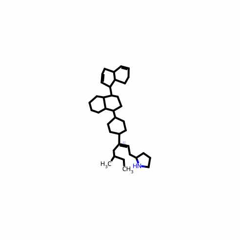 CCC(C)C/C(=C\CC1CCCN1)C1CCC(C2CCC(C3C=CCC4C=CCCC43)C3CCCCC23)CC1